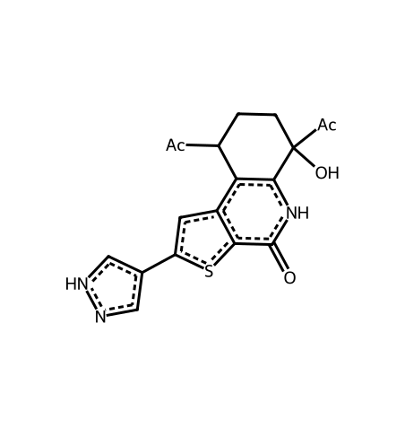 CC(=O)C1CCC(O)(C(C)=O)c2[nH]c(=O)c3sc(-c4cn[nH]c4)cc3c21